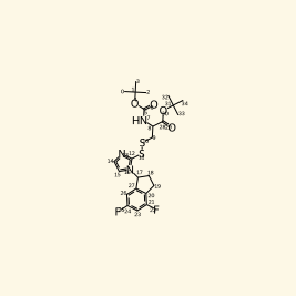 CC(C)(C)OC(=O)NC(CSSc1nccn1C1CCc2c(F)cc(F)cc21)C(=O)OC(C)(C)C